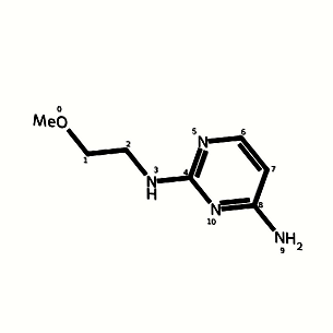 COCCNc1nccc(N)n1